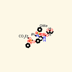 CCOC(=O)COP(=O)(COc1ccc(C[C@H](NC(=O)O[C@H]2CO[C@H]3OCC[C@H]32)[C@H](O)CN(CC(C)C)S(=O)(=O)c2ccc(OC)cc2)cc1)Oc1ccccc1